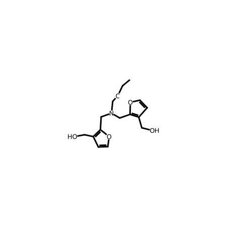 CCCCN(Cc1occc1CO)Cc1occc1CO